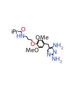 COc1cc(Cc2cnc(N)nc2N)cc(OC)c1OCCCNC(=O)C(C)C